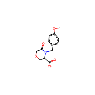 COc1ccc(CN2C(=O)COCC2C(=O)O)cc1